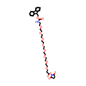 O=C(CCOCCOCCOCCOCCOCCOCCOCCOCCNC(=O)OCC1c2ccccc2-c2ccccc21)ON1C(=O)CCC1=O